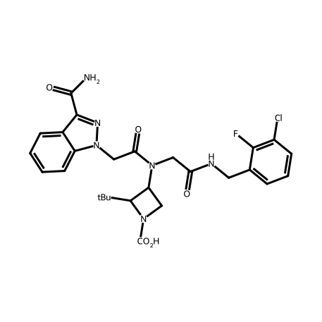 CC(C)(C)C1C(N(CC(=O)NCc2cccc(Cl)c2F)C(=O)Cn2nc(C(N)=O)c3ccccc32)CN1C(=O)O